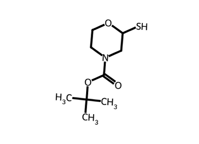 CC(C)(C)OC(=O)N1CCOC(S)C1